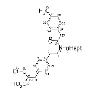 CCCCCCCN(CCc1ccc(C[C@H](OCC)C(=O)O)cc1)C(=O)Cc1ccc(C)cc1